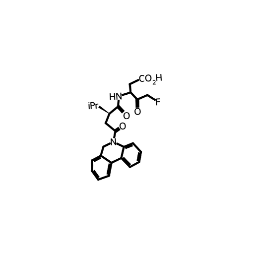 CC(C)[C@H](CC(=O)N1Cc2ccccc2-c2ccccc21)C(=O)NC(CC(=O)O)C(=O)CF